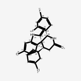 O=C1C[C@@H](C2C=CC=C(Cl)C2)[C@]2(C(=O)Nc3cc(Cl)ccc32)[C@H](c2ccc(F)cc2F)N1